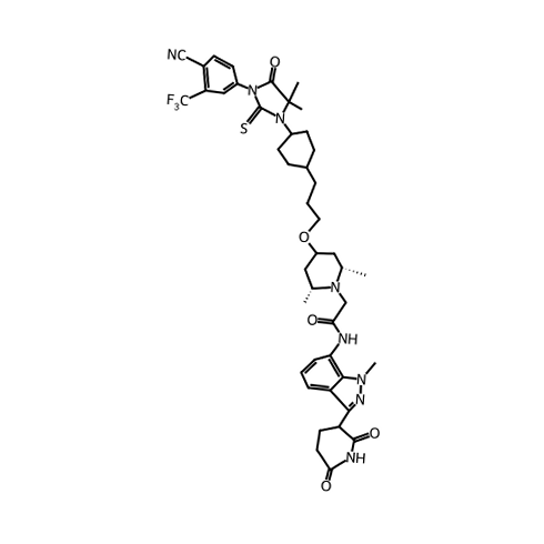 C[C@@H]1CC(OCCCC2CCC(N3C(=S)N(c4ccc(C#N)c(C(F)(F)F)c4)C(=O)C3(C)C)CC2)C[C@H](C)N1CC(=O)Nc1cccc2c(C3CCC(=O)NC3=O)nn(C)c12